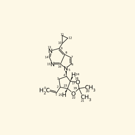 C=CC1C[C@@H](n2ccc3c(C4CC4)ncnc32)[C@@H]2OC(C)(C)O[C@H]12